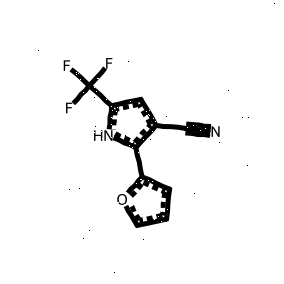 N#Cc1cc(C(F)(F)F)[nH]c1-c1ccco1